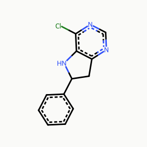 Clc1ncnc2c1NC(c1ccccc1)C2